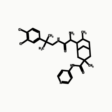 CC1CC2CC(CC(C)(C(=O)Nc3ccncc3)C2)C1C(N)C(=O)NCC(C)(C)c1ccc(Cl)c(Cl)c1